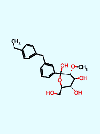 CCc1ccc(Cc2cccc(C3(O)O[C@H](CO)[C@@H](O)[C@H](O)[C@H]3OC)c2)cc1